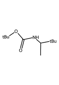 CC(NC(=O)OC(C)(C)C)C(C)(C)C